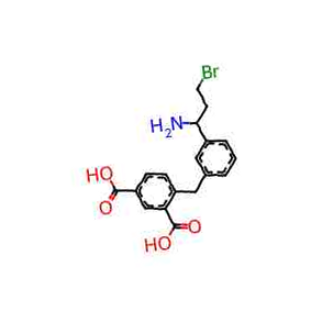 NC(CCBr)c1cccc(Cc2ccc(C(=O)O)cc2C(=O)O)c1